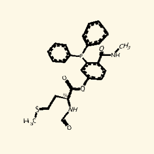 CNC(=O)c1ccc(OC(=O)[C@H](CCSC)NC=O)cc1P(c1ccccc1)c1ccccc1